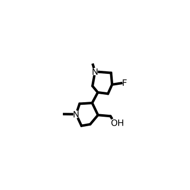 CN1CC(F)CC(C2CN(C)CCC2CO)C1